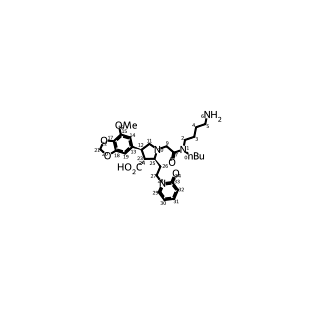 CCCCN(CCCCN)C(=O)CN1C[C@H](c2cc(OC)c3c(c2)OCO3)[C@@H](C(=O)O)[C@@H]1CCn1ccccc1=O